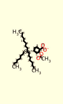 CC(=O)Oc1ccccc1C(=O)[O-].CCCCCCC[CH2][Sn+]([CH2]CCCCCCC)[CH2]CCCCCCC